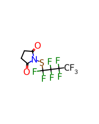 O=C1CCC(=O)N1SC(F)(F)C(F)(F)C(F)(F)C(F)(F)F